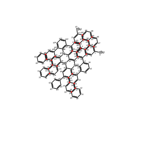 CC(C)(C)c1ccc(N(c2ccc(C(C)(C)C)cc2)c2cc3c4c(c2)N(c2c(-c5cccc(-c6ccccc6)c5)cccc2-c2cccc(-c5ccccc5)c2)c2cc(-c5ccccc5)c(-c5ccccc5)cc2B4c2cc(-c4ccccc4)c(-c4ccccc4)cc2N3c2c(-c3cccc(-c4ccccc4)c3)cccc2-c2cccc(-c3ccccc3)c2)cc1